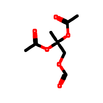 CC(=O)O[Si](C)(COC=O)OC(C)=O